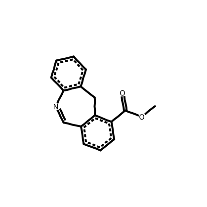 COC(=O)c1cccc2c1Cc1ccccc1N=C2